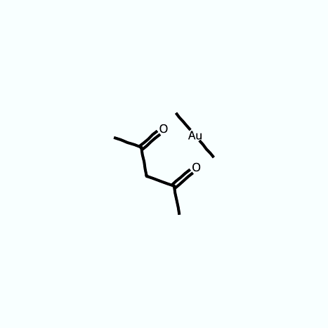 CC(=O)CC(C)=O.[CH3][Au][CH3]